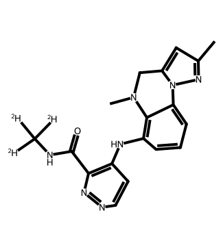 [2H]C([2H])([2H])NC(=O)c1nnccc1Nc1cccc2c1N(C)Cc1cc(C)nn1-2